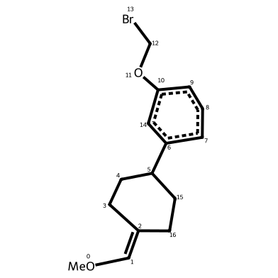 COC=C1CCC(c2cccc(OCBr)c2)CC1